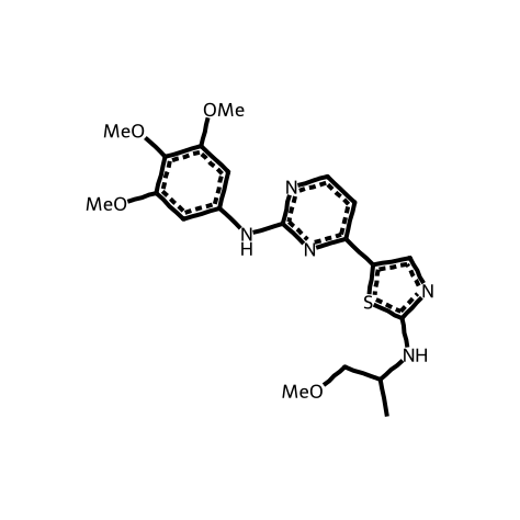 COCC(C)Nc1ncc(-c2ccnc(Nc3cc(OC)c(OC)c(OC)c3)n2)s1